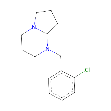 Clc1ccccc1CN1CCCN2CCCC21